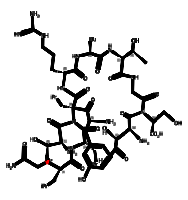 CCC(C)[C@H](NC(=O)[C@@H](CCCNC(=N)N)NC(=O)[C@@](CC(C)C)(C(=O)[C@@H](N)Cc1cccc(O)c1)N(C(=O)[C@H](CC(C)C)NC(=O)[C@@H](CC(C)C)NCC(N)=O)C(=O)[C@@H](N)[C@H](O)C(C)C)C(=O)N[C@H](C(=O)NCC(=O)N(C(=O)[C@@H](N)[C@H](O)C(N)=O)[C@@H](CO)C(=O)O)[C@H](C)O